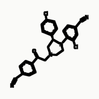 N#Cc1ccc(C(=O)CN2CCN(c3ccc(C#N)cc3Cl)[C@H](c3ccc(Cl)cc3)C2)cc1